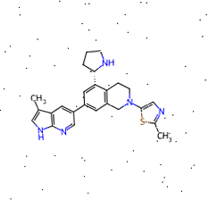 Cc1ncc(N2CCc3c(cc(-c4cnc5[nH]cc(C)c5c4)cc3[C@@H]3CCCN3)C2)s1